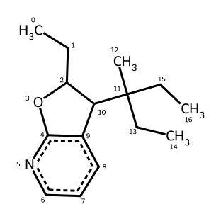 CCC1Oc2ncccc2C1C(C)(CC)CC